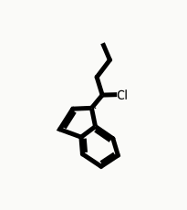 CCCC(Cl)[C]1C=Cc2ccccc21